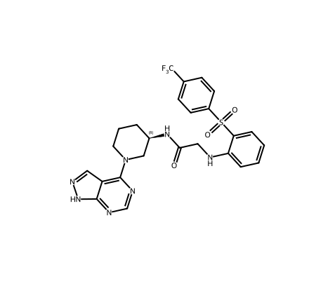 O=C(CNc1ccccc1S(=O)(=O)c1ccc(C(F)(F)F)cc1)N[C@@H]1CCCN(c2ncnc3[nH]ncc23)C1